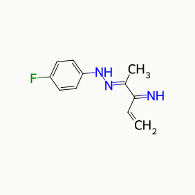 C=CC(=N)/C(C)=N/Nc1ccc(F)cc1